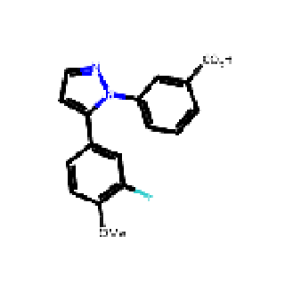 COc1ccc(-c2ccnn2-c2cccc(C(=O)O)c2)cc1F